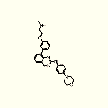 CN(C)CCOc1cccc(-c2cccc3cnc(Nc4ccc(N5CCOCC5)cc4)nc23)c1